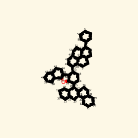 c1ccc(-c2ccc3ccc4c(-c5ccc(-c6c7ccccc7cc7c6ccc6ccccc67)c6oc7c8ccccc8ccc7c56)ccc5ccc2c3c54)cc1